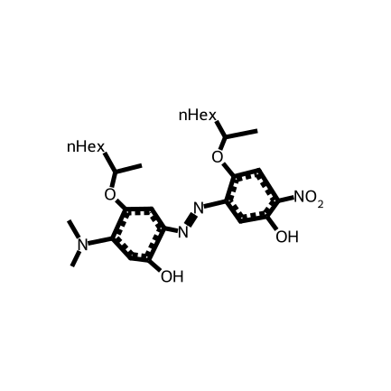 CCCCCCC(C)Oc1cc([N+](=O)[O-])c(O)cc1N=Nc1cc(OC(C)CCCCCC)c(N(C)C)cc1O